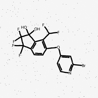 OC1(O)c2c(ccc(Oc3ccnc(Br)c3)c2C(F)F)C(F)(F)C1(F)F